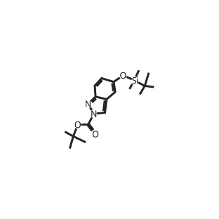 CC(C)(C)OC(=O)n1cc2cc(O[Si](C)(C)C(C)(C)C)ccc2n1